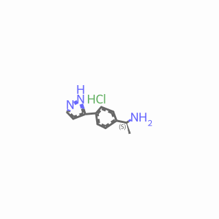 C[C@H](N)c1ccc(-c2ccn[nH]2)cc1.Cl